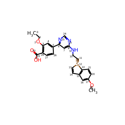 CCOc1cc(-c2cc(NCC[SH]3C=Cc4cc(OC)ccc43)ncn2)ccc1C(=O)O